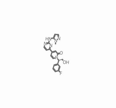 Cn1nccc1Nc1nccc(-c2ccn([C@@H](CO)c3cccc(F)c3)c(=O)c2)n1